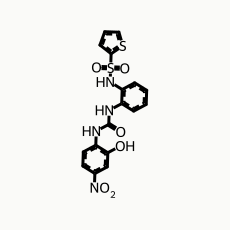 O=C(Nc1ccc([N+](=O)[O-])cc1O)Nc1ccccc1NS(=O)(=O)c1cccs1